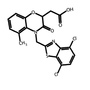 Cc1cccc2c1N(Cc1nc3c(Cl)ccc(Cl)c3s1)C(=O)C(CC(=O)O)O2